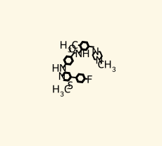 CSc1cnc(Nc2ccc(C(=O)Nc3cc(CN4CCN(C)CC4)ccc3C)cc2)cc1-c1ccc(F)cc1